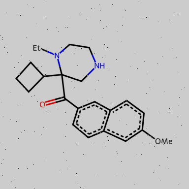 CCN1CCNCC1(C(=O)c1ccc2cc(OC)ccc2c1)C1CCC1